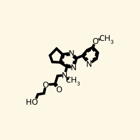 COc1ccnc(-c2nc3c(c(N(C)CC(=O)OCCO)n2)CCC3)c1